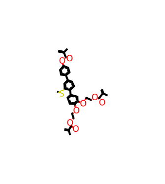 C=C(C)C(=O)OCCOc1ccc(-c2ccc(-c3ccc(OC(=O)C(=C)C)cc3)cc2SC)cc1OCCOC(=O)C(=C)C